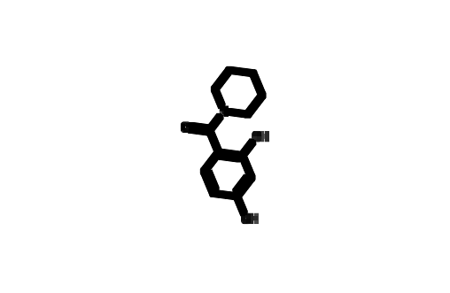 O=C(c1ccc(O)cc1O)N1CCCCC1